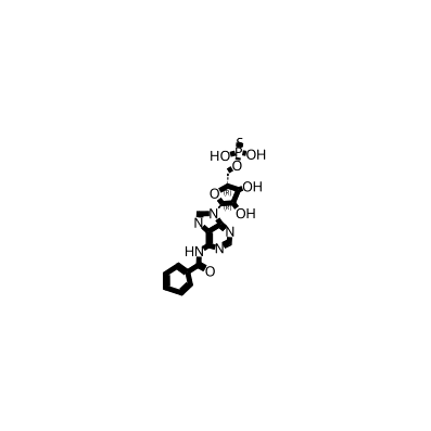 O=C(Nc1ncnc2c1ncn2[C@@H]1O[C@H](COP(O)(O)=S)C(O)C1O)c1ccccc1